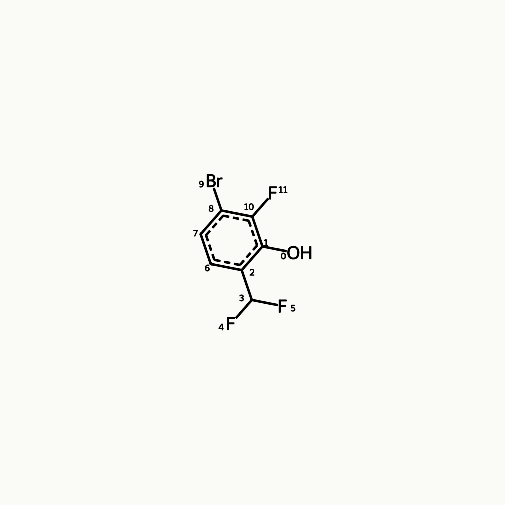 Oc1c(C(F)F)ccc(Br)c1F